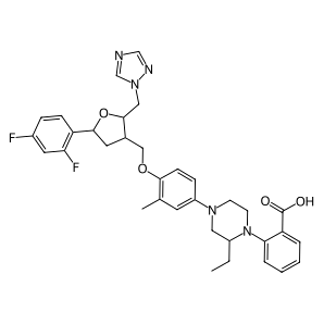 CCC1CN(c2ccc(OCC3CC(c4ccc(F)cc4F)OC3Cn3cncn3)c(C)c2)CCN1c1ccccc1C(=O)O